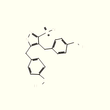 COc1ccc(Cc2[nH]nc(S(N)(=O)=O)c2Cc2ccc(OC)cc2)cc1